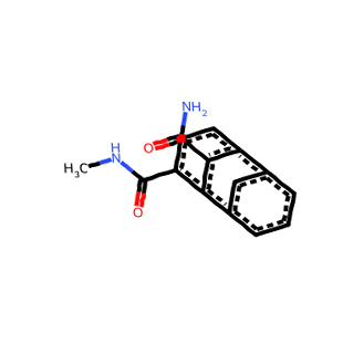 CNC(=O)c1ccc2c(C(N)=O)c1c1cccc2c1